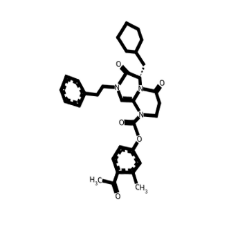 CC(=O)c1ccc(OC(=O)N2CCC(=O)N3C2=CN(CCc2ccccc2)C(=O)[C@@H]3CC2CCCCC2)cc1C